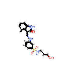 Cc1cccc2c1/C(=C/Nc1cccc(S(=O)(=O)NCCCO)c1)C(=O)N2